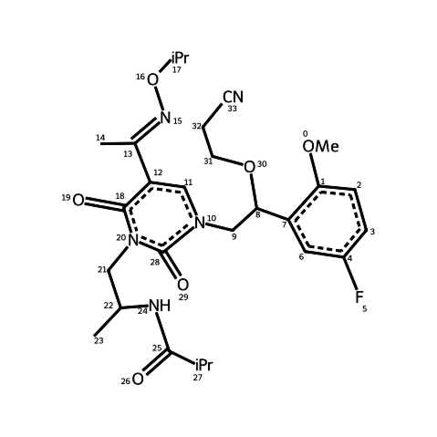 COc1ccc(F)cc1C(Cn1cc(C(C)=NOC(C)C)c(=O)n(CC(C)NC(=O)C(C)C)c1=O)OCCC#N